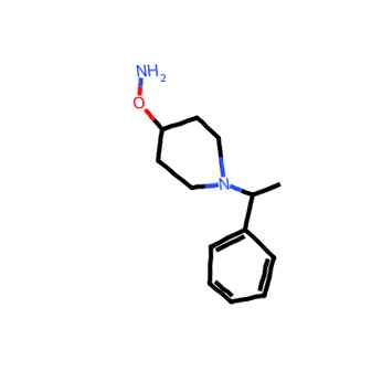 CC(c1ccccc1)N1CCC(ON)CC1